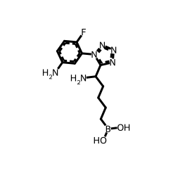 Nc1ccc(F)c(-n2nnnc2C(N)CCCCB(O)O)c1